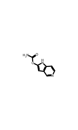 NC(=O)Oc1cc2cnccc2[nH]1